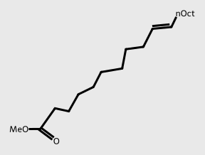 CCCCCCCCC=CCCCCCCCCC(=O)OC